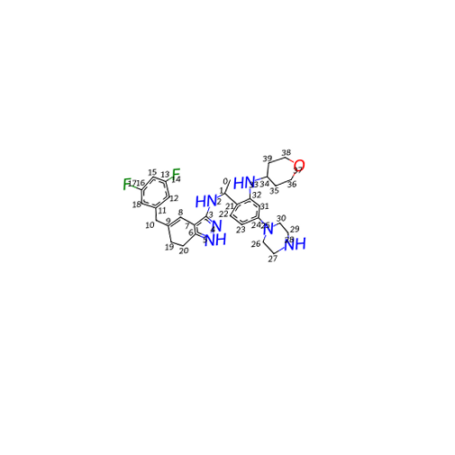 CC(Nc1n[nH]c2c1C=C(Cc1cc(F)cc(F)c1)CC2)c1ccc(N2CCNCC2)cc1NC1CCOCC1